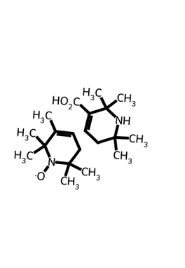 CC1(C)CC=C(C(=O)O)C(C)(C)N1.CC1=CCC(C)(C)N([O])C1(C)C